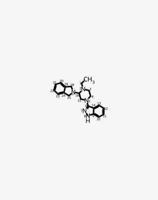 CCN1CCN(c2n[nH]c3ccccc23)CC1N1Cc2ccccc2C1